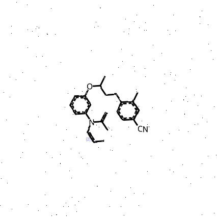 C=C(C)N(/C=C\C)c1cccc(OC(C)CCc2ccc(C#N)cc2C)c1